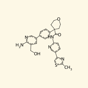 Cc1nc(-c2ccc(NC(=O)C3(c4ccc(-c5cnc(N)c(CO)c5)cc4)CCOCC3)nc2)cs1